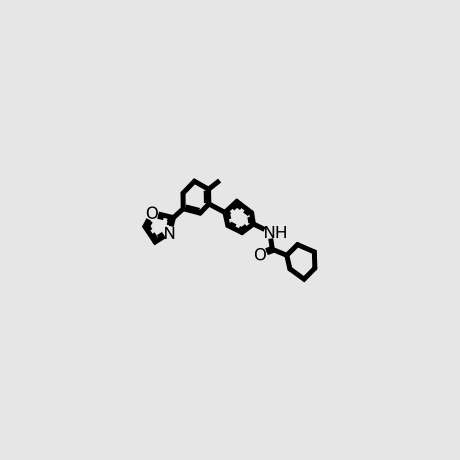 CC1=C(c2ccc(NC(=O)C3CCCCC3)cc2)C=C(c2ncco2)CC1